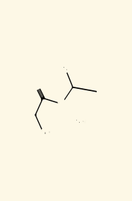 CCCCCC(=O)OC(C)N.[NaH]